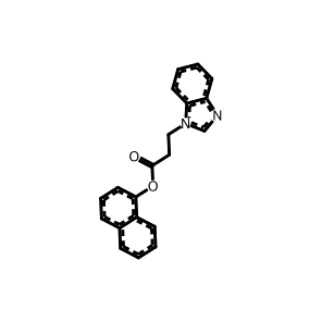 O=C(CCn1cnc2ccccc21)Oc1cccc2ccccc12